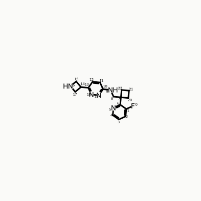 Fc1cccnc1C1(CNc2ccc(C3CNC3)nn2)CCC1